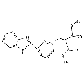 CC(C)(C)OC(=O)N(Cc1cccc(-c2nc3ccccc3[nH]2)c1)C(=O)OC(C)(C)C